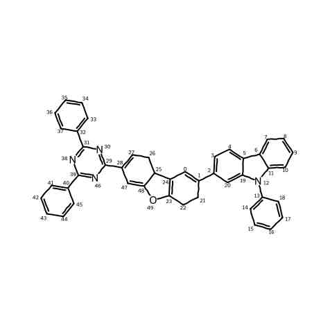 C1=C(c2ccc3c4ccccc4n(-c4ccccc4)c3c2)CCC2=C1C1CC=C(c3nc(-c4ccccc4)nc(-c4ccccc4)n3)C=C1O2